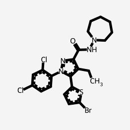 CCc1c(C(=O)NN2CCCCCC2)nn(-c2ccc(Cl)cc2Cl)c1-c1ccc(Br)s1